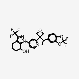 CC(c1ccc2c(c1)OC(F)(F)O2)C1(c2cc(-n3nc(C(F)(F)F)c4c3C(O)CCC4)ccn2)COC1